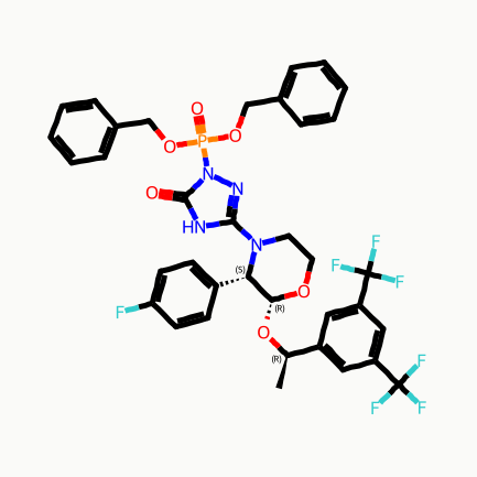 C[C@@H](O[C@H]1OCCN(c2nn(P(=O)(OCc3ccccc3)OCc3ccccc3)c(=O)[nH]2)[C@H]1c1ccc(F)cc1)c1cc(C(F)(F)F)cc(C(F)(F)F)c1